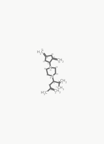 C=C(C)CC(C(=C)C)N1CCN(C2CC(=C)CC2=C)CC1